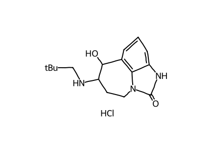 CC(C)(C)CNC1CCn2c(=O)[nH]c3cccc(c32)C1O.Cl